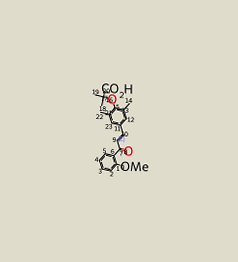 COc1ccccc1C(=O)/C=C/c1cc(C)c(OC(C)(C)C(=O)O)c(C)c1